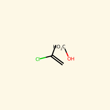 C=C(C)Cl.O=C(O)O